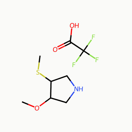 COC1CNCC1SC.O=C(O)C(F)(F)F